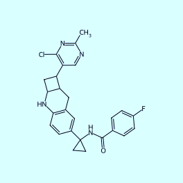 Cc1ncc(C2CC3Nc4ccc(C5(NC(=O)c6ccc(F)cc6)CC5)cc4CC32)c(Cl)n1